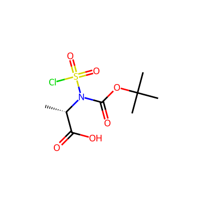 C[C@@H](C(=O)O)N(C(=O)OC(C)(C)C)S(=O)(=O)Cl